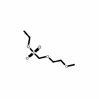 CCOS(=O)(=O)COCCOC